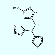 O=C(O)c1cc(NC(c2ccsc2)c2ccsc2)[nH]n1